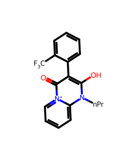 CCCn1c(O)c(-c2ccccc2C(F)(F)F)c(=O)[n+]2ccccc12